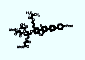 C=C(C)C(=O)OCCCc1cc(-c2c(F)cc(-c3ccc(C4CCC(CCCCC)CC4)cc3)cc2F)c(CC)cc1OCC(COC(=O)CC(=O)OC)(COC(=O)CC(=O)OC)COC(=O)C(=C)C